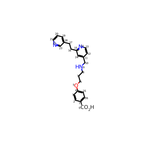 O=C(O)c1ccc(OCCCNCc2ccnc(CCc3cccnc3)c2)cc1